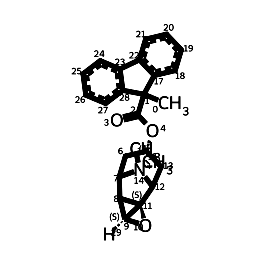 CC1(C(=O)O[C@H]2CC3C4[C@@H]5O[C@]45C(C2)[N+]3(C)C)c2ccccc2-c2ccccc21